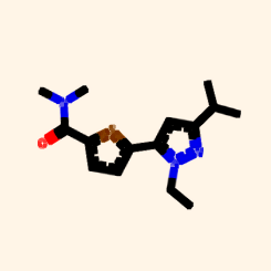 CCn1nc(C(C)C)cc1-c1ccc(C(=O)N(C)C)s1